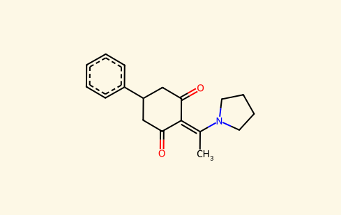 CC(=C1C(=O)CC(c2ccccc2)CC1=O)N1CCCC1